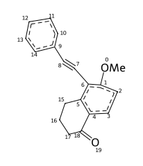 COc1ccc2c(c1C#Cc1ccccc1)CCCC2=O